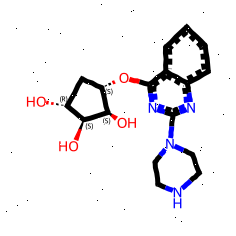 O[C@@H]1[C@H](O)[C@@H](Oc2nc(N3CCNCC3)nc3ccccc23)C[C@H]1O